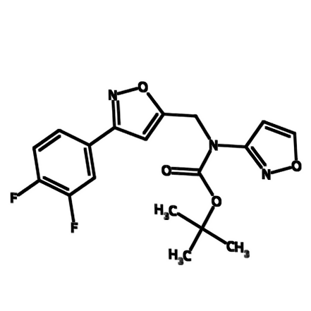 CC(C)(C)OC(=O)N(Cc1cc(-c2ccc(F)c(F)c2)no1)c1ccon1